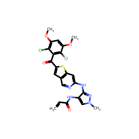 C=CC(=O)Nc1cn(C)nc1Nc1cc2sc(C(=O)c3c(Cl)c(OC)cc(OC)c3Cl)cc2cn1